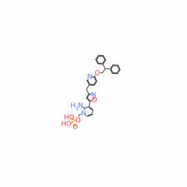 NC1C(c2cc(Cc3ccc(OCC(c4ccccc4)c4ccccc4)nc3)no2)=CC=CN1COP(=O)(O)O